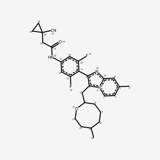 Cc1ccn2c(CC3CCCC(C)CCO3)c(-c3c(F)cc(NC(=O)CC4(C#N)CC4)cc3F)nc2c1